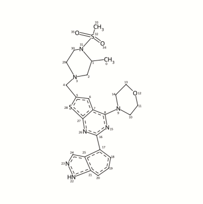 CC1CN(Cc2cc3c(N4CCOCC4)nc(-c4cccc5[nH]ncc45)nc3s2)CCN1S(C)(=O)=O